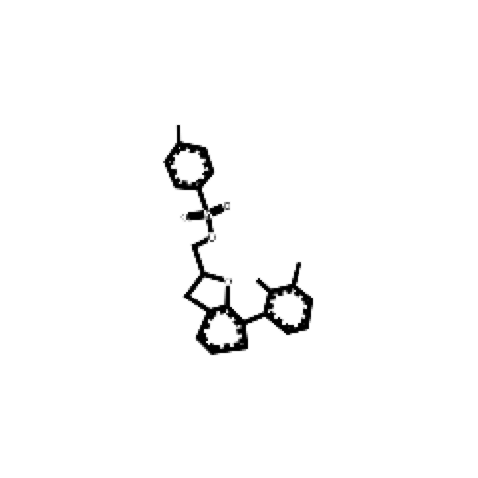 Cc1ccc(S(=O)(=O)OCC2Cc3cccc(-c4cccc(C)c4C)c3O2)cc1